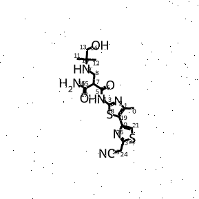 Cc1nc(NC(=O)C(CNC(C)(C)CO)C(N)=O)sc1-c1csc(CC#N)n1